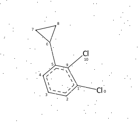 Clc1cccc(C2CC2)c1Cl